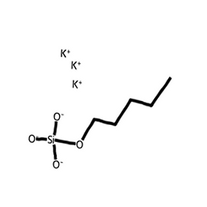 CCCCCO[Si]([O-])([O-])[O-].[K+].[K+].[K+]